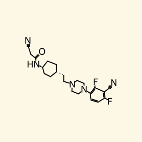 N#CCC(=O)N[C@H]1CC[C@H](CCN2CCN(c3ccc(F)c(C#N)c3F)CC2)CC1